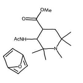 COC(=O)C1CC(C)(C)N(C)C(C)(C)C1NC(C)=O.c1cc2ccc1o2